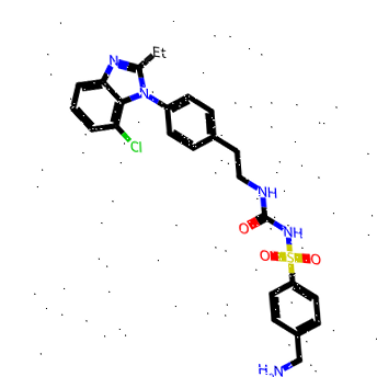 CCc1nc2cccc(Cl)c2n1-c1ccc(CCNC(=O)NS(=O)(=O)c2ccc(CN)cc2)cc1